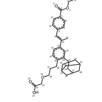 CCOC(=O)c1ccc(C=C(C)c2ccc(CCCOCC(=O)O)c(C34CC5CC(CC(C5)C3)C4)c2)cc1